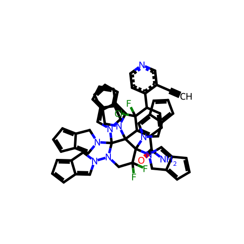 C#Cc1cnccc1C1C=CC(C(N)=O)=C(C2(N3C=C4C=CC=C4C3)C(N3C=C4C=CC=C4C3)(N3C=C4C=CC=C4C3)N(N3C=C4C=CC=C4C3)CC(F)(F)C2(N2C=C3C=CC=C3C2)N2C=C3C=CC=C3C2)C1(F)Cl